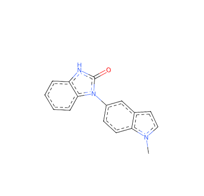 Cn1ccc2cc(-n3c(=O)[nH]c4ccccc43)ccc21